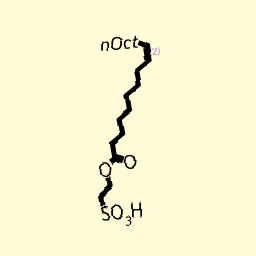 CCCCCCCC/C=C\CCCCCCCC(=O)OCCS(=O)(=O)O